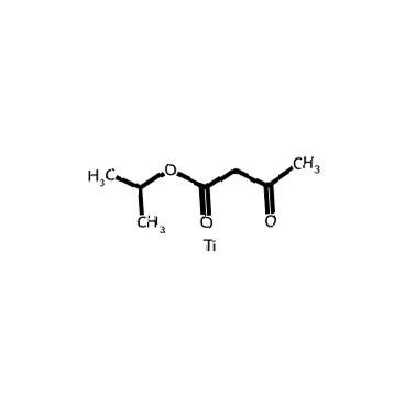 CC(=O)CC(=O)OC(C)C.[Ti]